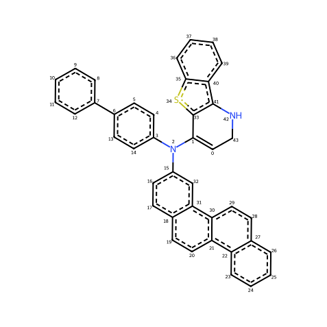 C1=C(N(c2ccc(-c3ccccc3)cc2)c2ccc3ccc4c5ccccc5ccc4c3c2)c2sc3ccccc3c2NC1